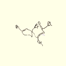 CCC(=O)/C=C(/C)C1(CC)C=C(C(C)C)CC1